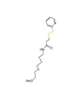 COCCOCCCCNC(=O)CCSSc1ccccn1